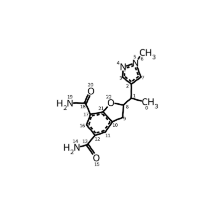 CC(c1cnn(C)c1)C1Cc2cc(C(N)=O)cc(C(N)=O)c2O1